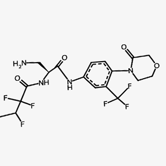 NC[C@H](NC(=O)C(F)(F)C(F)F)C(=O)Nc1ccc(N2CCOCC2=O)c(C(F)(F)F)c1